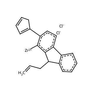 C=CCC1c2ccccc2-c2ccc(C3=CC=CC3)[c]([Zr+2])c21.[Cl-].[Cl-]